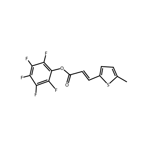 Cc1ccc(C=CC(=O)Oc2c(F)c(F)c(F)c(F)c2F)s1